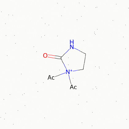 CC(=O)[N+]1(C(C)=O)CCNC1=O